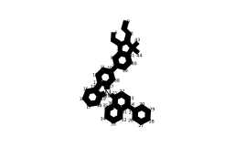 C=C/C=C1\C(=C/C)c2cc(-c3ccc4c5ccccc5n(-c5ccc(-c6ccccc6)c6ccccc56)c4c3)ccc2C1(C)C